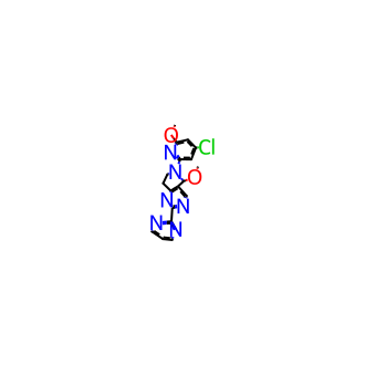 COc1cc(Cl)cc(N2CCc3nc(-c4ncccn4)ncc3C2OC)n1